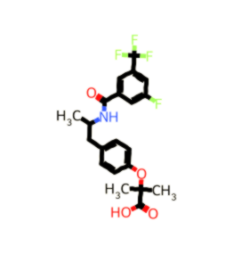 CC(Cc1ccc(OC(C)(C)C(=O)O)cc1)NC(=O)c1cc(F)cc(C(F)(F)F)c1